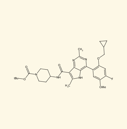 COc1cc(-c2nc(C)nc3c(C(=O)NC4CCN(C(=O)OC(C)(C)C)CC4)c(C)[nH]c23)c(OCC2CC2)cc1F